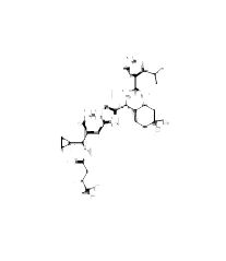 CC(C)c1snnc1C(=O)N[C@H](c1cn2ncc(C(NC(=O)CCC(F)(F)F)C3CC3)cc2n1)C1CCC(F)(F)CC1